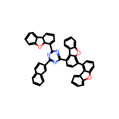 C1=CC2c3ccccc3OC2C(c2nc(-c3ccc4ccccc4c3)nc(-c3ccc(-c4cccc5oc6ccccc6c45)c4oc5ccccc5c34)n2)=C1